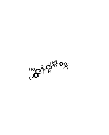 O=C(N[C@@H]1C[C@@H]2O[C@H]1C[C@H]2c1nnc([C@H]2C[C@@H](OC(F)(F)F)C2)o1)[C@H]1C[C@@H](O)c2cc(Cl)ccc2O1